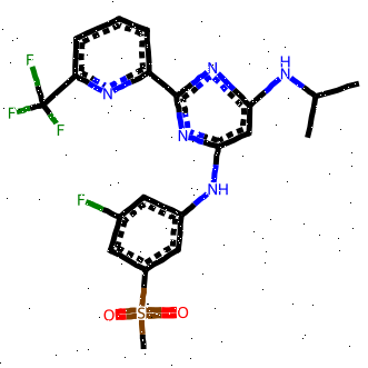 CC(C)Nc1cc(Nc2cc(F)cc(S(C)(=O)=O)c2)nc(-c2cccc(C(F)(F)F)n2)n1